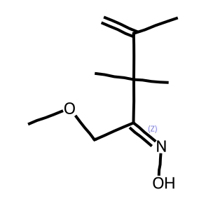 C=C(C)C(C)(C)/C(COC)=N/O